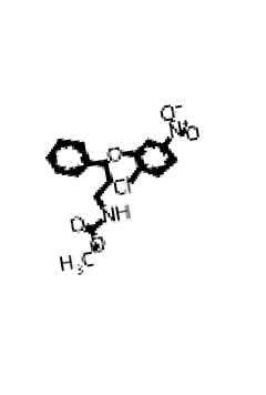 COC(=O)NCCC(Oc1cc([N+](=O)[O-])ccc1Cl)c1ccccc1